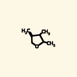 C=C1COC(C)C1C